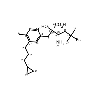 Cc1cnc(C[C@](O)(C(=O)O)[C@@H](N)CC(C)(C)F)cc1CCCC1CC1